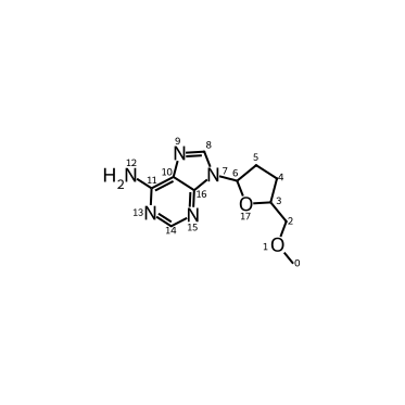 COCC1CCC(n2cnc3c(N)ncnc32)O1